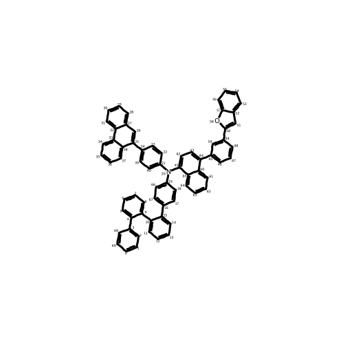 c1ccc(-c2ccccc2-c2ccccc2-c2ccc(N(c3ccc(-c4cc5ccccc5c5ccccc45)cc3)c3ccc(-c4cccc(-c5cc6ccccc6o5)c4)c4ccccc34)cc2)cc1